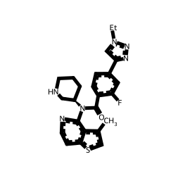 CCn1cc(-c2ccc(C(=O)N(c3nccc4scc(C)c34)[C@@H]3CCCNC3)c(F)c2)nn1